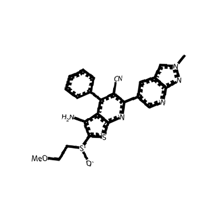 COCC[S+]([O-])c1sc2nc(-c3cnc4nn(C)cc4c3)c(C#N)c(-c3ccccc3)c2c1N